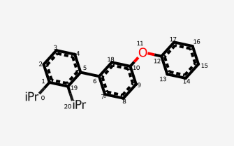 CC(C)c1cccc(-c2[c]ccc(Oc3ccccc3)c2)c1C(C)C